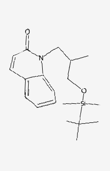 CC(CO[Si](C)(C)C(C)(C)C)Cn1c(=O)ccc2ccccc21